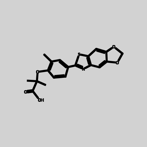 Cc1cc(-c2nc3cc4c(cc3s2)OCO4)ccc1OC(C)(C)C(=O)O